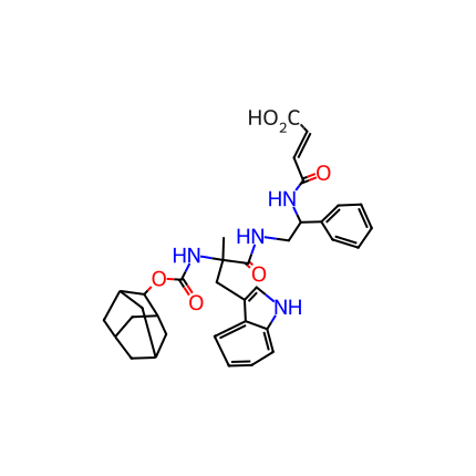 CC(Cc1c[nH]c2ccccc12)(NC(=O)OC1C2CC3CC(C2)CC1C3)C(=O)NCC(NC(=O)C=CC(=O)O)c1ccccc1